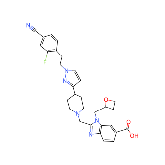 N#Cc1ccc(CCn2ccc(C3CCN(Cc4nc5ccc(C(=O)O)cc5n4CC4CCO4)CC3)n2)c(F)c1